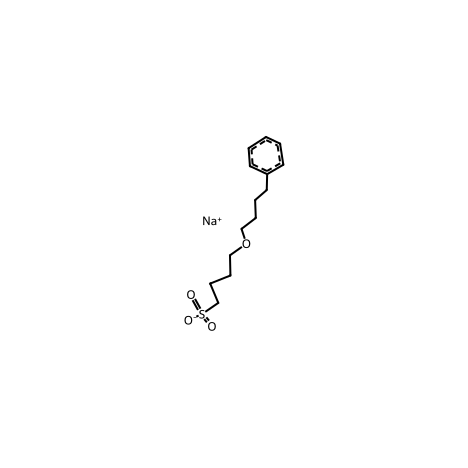 O=S(=O)([O-])CCCCOCCCCc1ccccc1.[Na+]